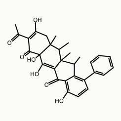 CC(=O)C1=C(O)CC2(C)C(C)C3(C)C(=C(O)C2(O)C1=O)C(=O)c1c(O)ccc(-c2ccccc2)c1C3C